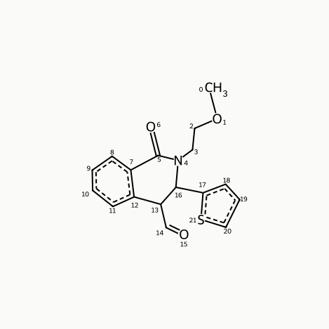 COCCN1C(=O)c2ccccc2C(C=O)C1c1cccs1